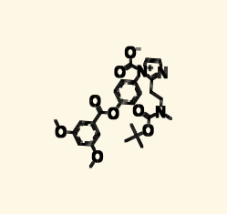 COc1cc(OC)cc(C(=O)Oc2ccc([N+]3(C(=O)[O-])C=CN=C3CCN(C)C(=O)OC(C)(C)C)cc2)c1